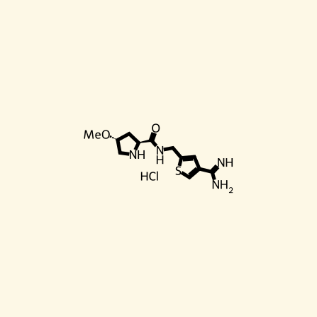 CO[C@H]1CN[C@H](C(=O)NCc2cc(C(=N)N)cs2)C1.Cl